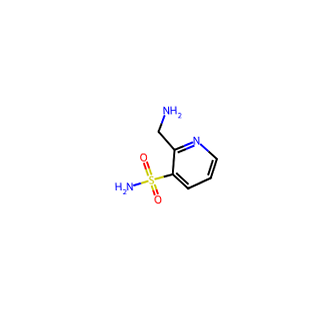 NCc1ncccc1S(N)(=O)=O